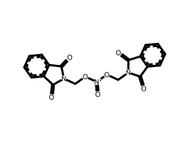 O=C1c2ccccc2C(=O)N1CO[N+](=O)OCN1C(=O)c2ccccc2C1=O